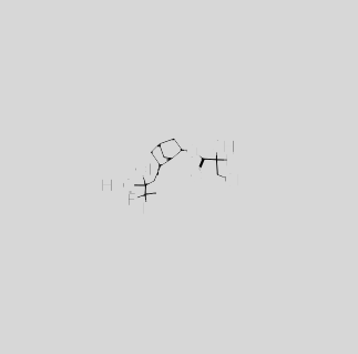 CCC(C)(F)C(=O)OC1CC2CC(CC(C)(O)C(F)(F)F)C1C2